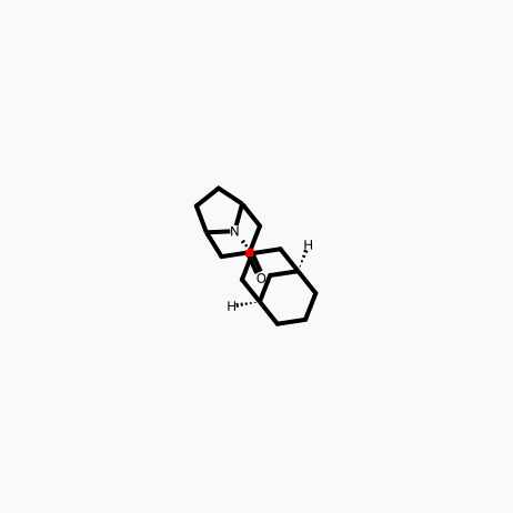 O=C1CC2CCC(C1)N2[C@H]1C[C@@H]2CCC[C@@H](C2)C1